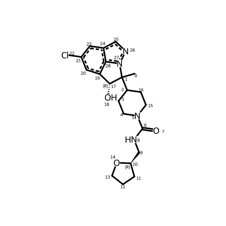 CC1(C2CCN(C(=O)NC[C@H]3CCCO3)CC2)[C@H](O)c2cc(Cl)cc3cnn1c23